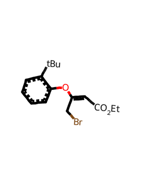 CCOC(=O)C=C(CBr)Oc1ccccc1C(C)(C)C